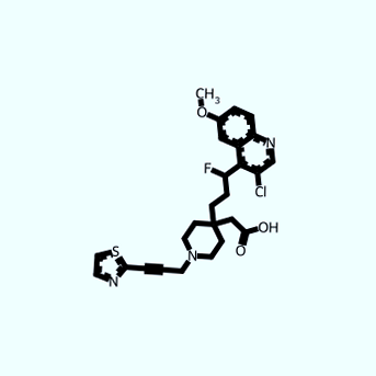 COc1ccc2ncc(Cl)c(C(F)CCC3(CC(=O)O)CCN(CC#Cc4nccs4)CC3)c2c1